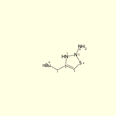 CCCCCC1=CSN(N)N1